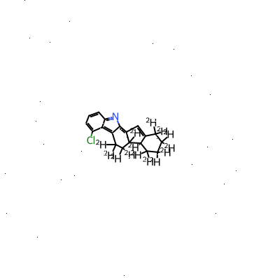 [2H]C1([2H])C2=CC3=C4N=c5cccc(Cl)c5=C4C([2H])([2H])C([2H])([2H])C3([2H])C2([2H])C([2H])([2H])C([2H])([2H])C1([2H])[2H]